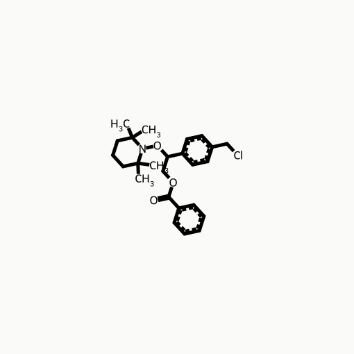 CC1(C)CCCC(C)(C)N1OC(COC(=O)c1ccccc1)c1ccc(CCl)cc1